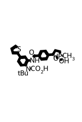 CC(C)(C)N(C(=O)O)c1ccc(-c2cccs2)cc1NC(=O)c1ccc(C2CC[PH](C)(O)O2)cc1